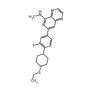 CCSN1CCC(c2ccc(-c3cc4nccnc4c(NC)n3)cc2F)CC1